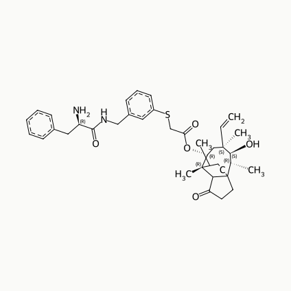 C=C[C@]1(C)C[C@@H](OC(=O)CSc2cccc(CNC(=O)[C@H](N)Cc3ccccc3)c2)[C@]2(C)C(C)CCC3(CCC(=O)C32)[C@@H](C)[C@@H]1O